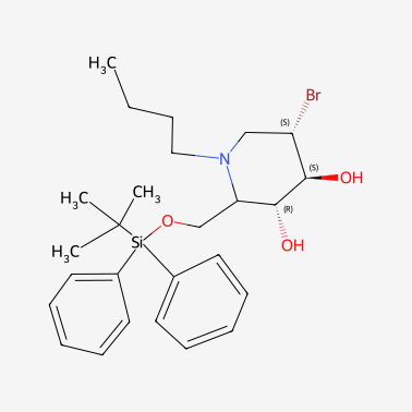 CCCCN1C[C@H](Br)[C@@H](O)[C@H](O)C1CO[Si](c1ccccc1)(c1ccccc1)C(C)(C)C